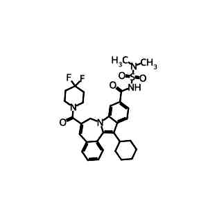 CN(C)S(=O)(=O)NC(=O)c1ccc2c(C3CCCCC3)c3n(c2c1)CC(C(=O)N1CCC(F)(F)CC1)=Cc1ccccc1-3